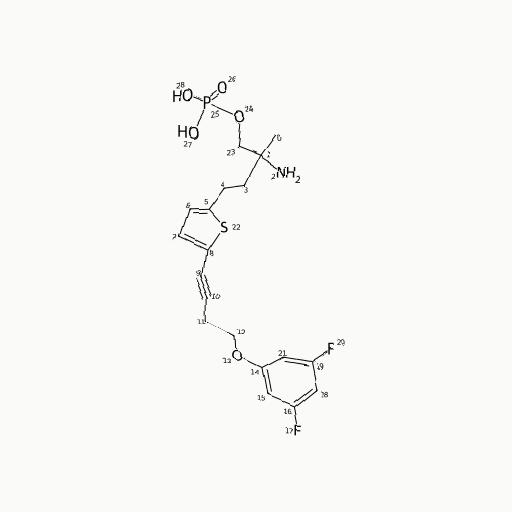 CC(N)(CCc1ccc(C#CCCOc2cc(F)cc(F)c2)s1)COP(=O)(O)O